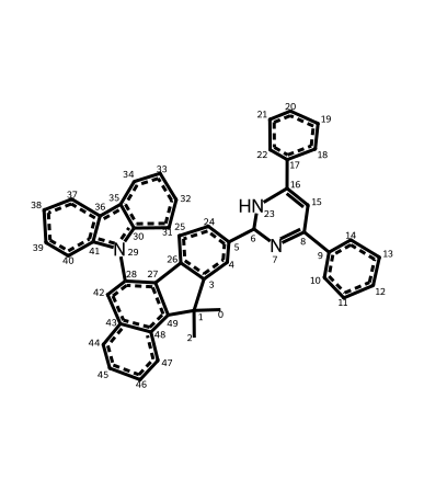 CC1(C)c2cc(C3N=C(c4ccccc4)C=C(c4ccccc4)N3)ccc2-c2c(-n3c4ccccc4c4ccccc43)cc3ccccc3c21